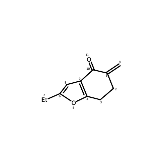 C=C1CCc2oc(CC)cc2C1=O